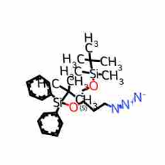 CC(C)(C)[Si](C)(C)OC[C@H](CCN=[N+]=[N-])O[Si](c1ccccc1)(c1ccccc1)C(C)(C)C